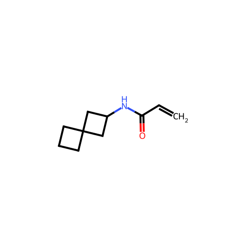 C=CC(=O)NC1CC2(CCC2)C1